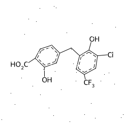 O=C(O)c1ccc(Cc2cc(C(F)(F)F)cc(Cl)c2O)cc1O